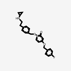 O=c1cc(OCc2ccc(F)cc2)ccn1OCc1ccc(CCNC2CC2)cc1